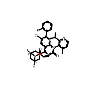 C=CC(=O)N1[C@@H]2C[C@H]1CN(c1nc(=O)n(-c3c(C)ccnc3C(C)C)c3nc(-c4ccccc4F)c(Cl)cc13)C2